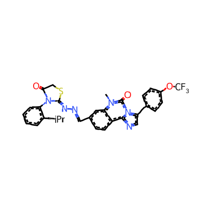 CC(C)c1ccccc1N1C(=O)CSC1=NN=Cc1ccc2c(c1)n(C)c(=O)n1c(-c3ccc(OC(F)(F)F)cc3)cnc21